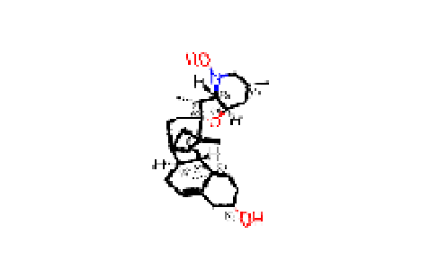 C[C@H]1C[C@H]2O[C@]3(CCC45CC3(C)C4C[C@H]3[C@H]5CC=C4C[C@@H](O)CC[C@@]43C)[C@H](C)[C@@H]2N(O)C1